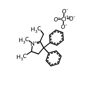 CCC1=[N+](C)C(C)CC1(c1ccccc1)c1ccccc1.[O-][Cl+3]([O-])([O-])[O-]